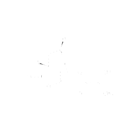 C=C(C)C(=O)OC1C2OC(=O)[C@@H]3C[C@@H]1CC23